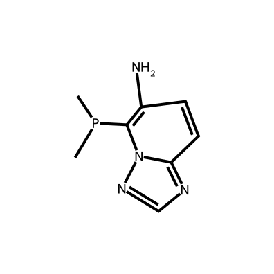 CP(C)c1c(N)ccc2ncnn12